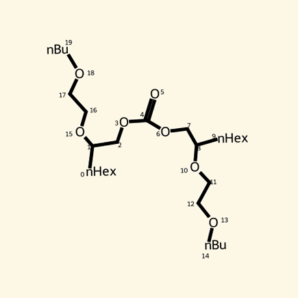 CCCCCCC(COC(=O)OCC(CCCCCC)OCCOCCCC)OCCOCCCC